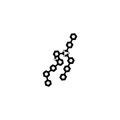 c1ccc(-c2ccc(-c3cccc(-c4nc(-c5ccc(-c6ccccc6)cc5)nc(-c5cccc6oc7c(-c8ccc(-c9cccc(-c%10ccccc%10)c9)cc8)cccc7c56)n4)c3)cc2)cc1